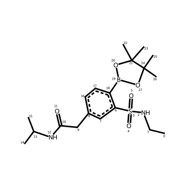 CCNS(=O)(=O)c1cc(CC(=O)NC(C)C)ccc1B1OC(C)(C)C(C)(C)O1